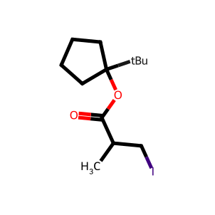 CC(CI)C(=O)OC1(C(C)(C)C)CCCC1